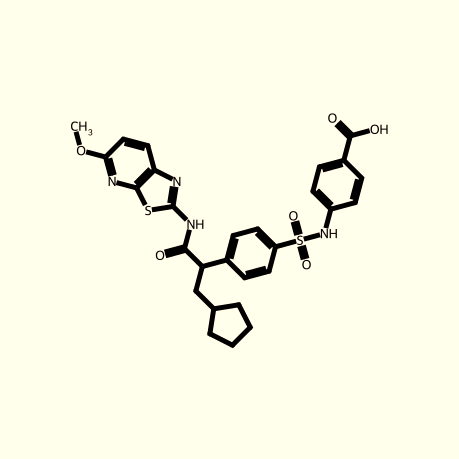 COc1ccc2nc(NC(=O)C(CC3CCCC3)c3ccc(S(=O)(=O)Nc4ccc(C(=O)O)cc4)cc3)sc2n1